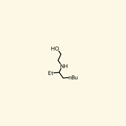 CCCCCC(CC)NCCO